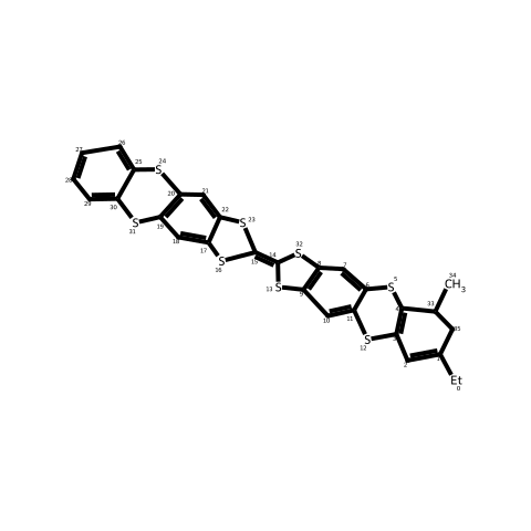 CCC1=CC2=C(Sc3cc4c(cc3S2)SC(=C2Sc3cc5c(cc3S2)Sc2ccccc2S5)S4)C(C)C1